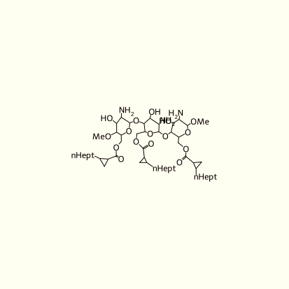 CCCCCCCC1CC1C(=O)OCC1OC(OC2C(COC(=O)C3CC3CCCCCCC)OC(OC3C(COC(=O)C4CC4CCCCCCC)OC(OC)C(N)C3O)C(N)C2O)C(N)C(O)C1OC